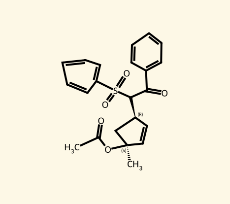 CC(=O)O[C@]1(C)C=C[C@H](C(C(=O)c2ccccc2)S(=O)(=O)c2ccccc2)C1